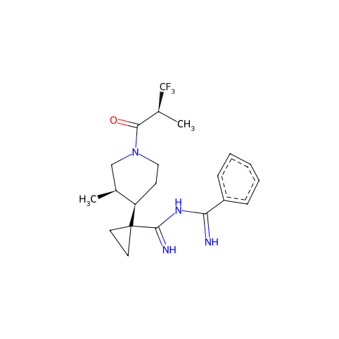 C[C@H]1CN(C(=O)[C@H](C)C(F)(F)F)CC[C@H]1C1(C(=N)NC(=N)c2ccccc2)CC1